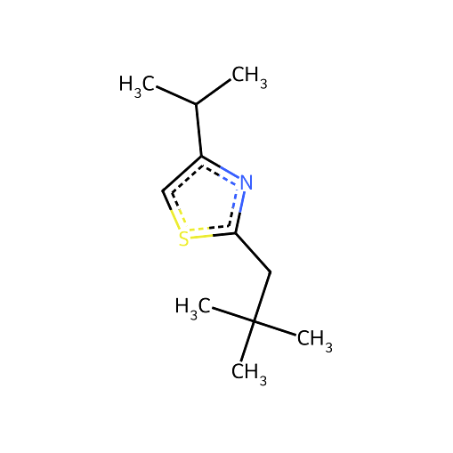 CC(C)c1csc(CC(C)(C)C)n1